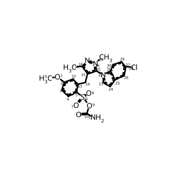 COc1ccc(S(=O)(=O)OC(N)=O)c(Cc2c(C)nn(C)c2-n2ccc3cc(Cl)ccc32)c1